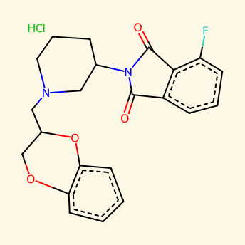 Cl.O=C1c2cccc(F)c2C(=O)N1C1CCCN(CC2COc3ccccc3O2)C1